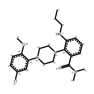 CCCNc1cccc(C(=O)N(C)C)c1N1CCN(c2cc(Cl)ccc2OC)CC1